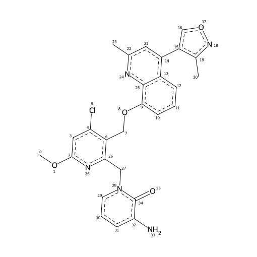 COc1cc(Cl)c(COc2cccc3c(-c4conc4C)cc(C)nc23)c(Cn2cccc(N)c2=O)n1